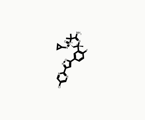 CC1(C)C(N)=N[C@](C)(c2cc(-c3cc(-c4ncc(Cl)cn4)no3)ccc2F)C[S@@]1(=O)=NC1CC1